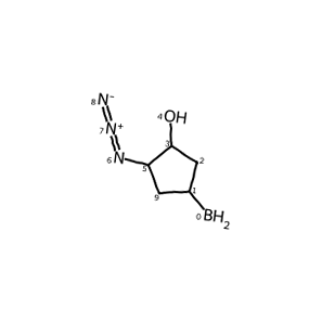 BC1CC(O)C(N=[N+]=[N-])C1